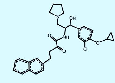 O=C(CCc1ccc2ccccc2c1)C(=O)NC(CN1CCCC1)C(O)c1ccc(OC2CC2)c(Cl)c1